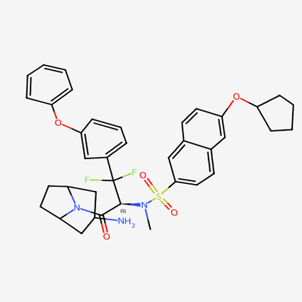 CN([C@@H](C(=O)N1C2CCC1CC(N)C2)C(F)(F)c1cccc(Oc2ccccc2)c1)S(=O)(=O)c1ccc2cc(OC3CCCC3)ccc2c1